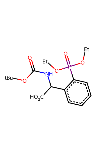 CCOP(=O)(OCC)c1ccccc1C(NC(=O)OC(C)(C)C)C(=O)O